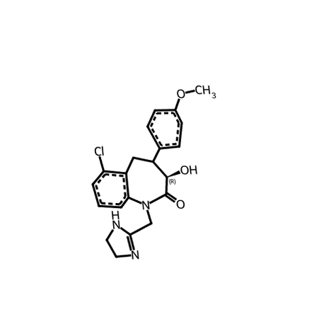 COc1ccc(C2Cc3c(Cl)cccc3N(CC3=NCCN3)C(=O)[C@@H]2O)cc1